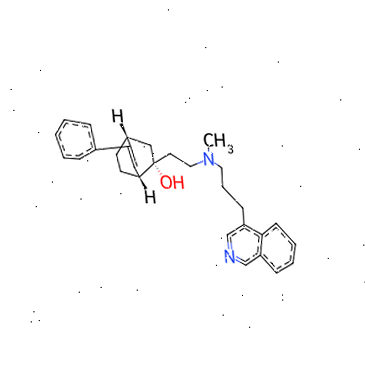 CN(CCCc1cncc2ccccc12)CC[C@]1(O)C[C@H]2CC[C@@H]1C=C2c1ccccc1